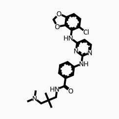 CN(C)CC(C)(C)CNC(=O)c1cccc(Nc2nccc(Nc3c(Cl)ccc4c3OCO4)n2)c1